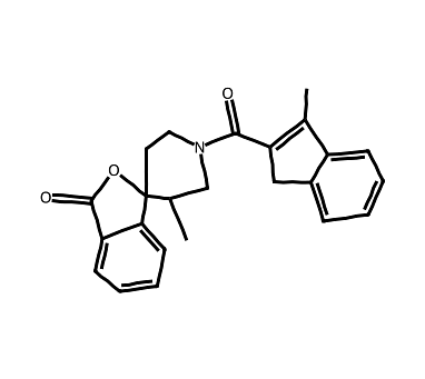 CC1=C(C(=O)N2CCC3(OC(=O)c4ccccc43)C(C)C2)Cc2ccccc21